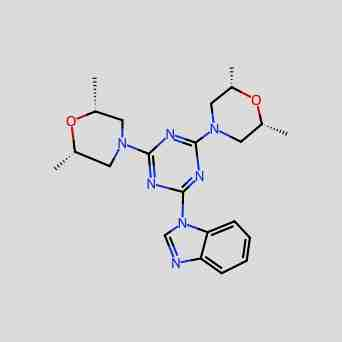 C[C@@H]1CN(c2nc(N3C[C@@H](C)O[C@@H](C)C3)nc(-n3cnc4ccccc43)n2)C[C@H](C)O1